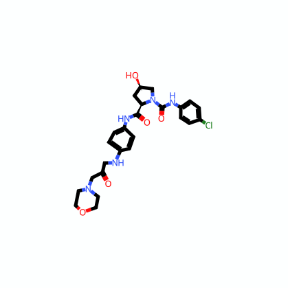 O=C(CNc1ccc(NC(=O)[C@H]2C[C@@H](O)CN2C(=O)Nc2ccc(Cl)cc2)cc1)CN1CCOCC1